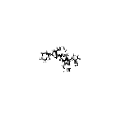 CC(C)Cn1nc(N2CCCC2=O)c2cnc(-c3nn(C4CCCCO4)cc3[N+](=O)[O-])cc21